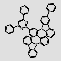 c1ccc(-c2ccc3c(c2)c2ccccc2n3-c2cc(-c3nc(-c4ccccc4)cc(-c4ccccc4)n3)ccc2-c2ccccc2-n2c3ccccc3c3ccccc32)cc1